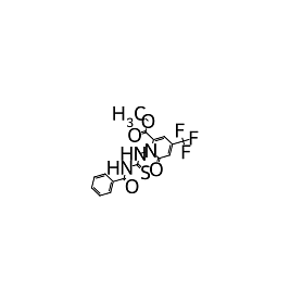 COC(=O)c1cc(C(F)(F)F)cc(=O)n1NC(=S)NC(=O)c1ccccc1